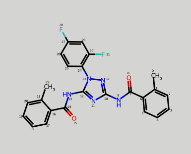 Cc1ccccc1C(=O)Nc1nc(NC(=O)c2ccccc2C)n(-c2ccc(F)cc2F)n1